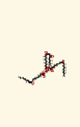 CCCCC/C=C/CC1OC1CCCCCCCC(=O)OCC(COC(=O)CCCCCCCC1OC1CCCCCCCC)OC(=O)CCCCCCCC1OC1CC1OC1CCCCC